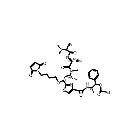 CCC(=O)OC(c1ccccc1)[C@@H](C)NC1OC1c1csc([C@@H](C[C@H](C(C)C)N(C)C(=O)/C(=N/C(=O)C(C(C)C)N(C)C)[C@@H](C)CC)OCCCCN2C(=O)C=CC2=O)n1